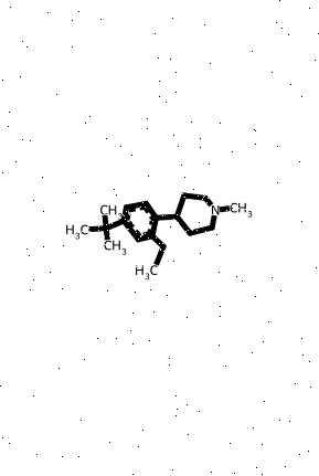 CCc1cc(C(C)(C)C)ccc1C1CCN(C)CC1